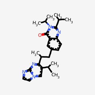 CC(C)c1cn2ccnc2nc1C(C)Cc1ccc2nc(C(C)C)n(C(C)C)c(=O)c2c1